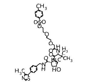 Cc1ccc(S(=O)(=O)OCCOCCOCC(=O)N[C@H](C(=O)N2C[C@H](O)C[C@H]2C(=O)NCc2ccc(-c3scnc3C)cc2)C(C)(C)C)cc1